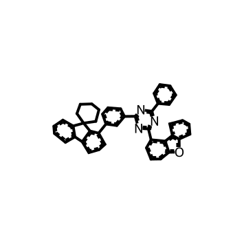 c1ccc(-c2nc(-c3cccc(-c4cccc5c4C4(CCCCC4)c4ccccc4-5)c3)nc(-c3cccc4oc5ccccc5c34)n2)cc1